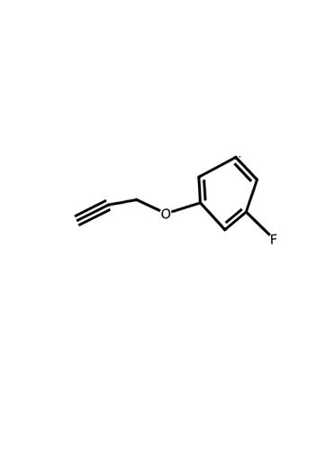 C#CCOc1c[c]cc(F)c1